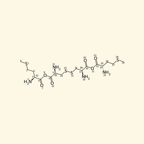 CSCC[C@H](N)C(=O)OC(=O)[C@@H](N)CSSC[C@H](N)C(=O)OC(=O)[C@@H](N)CCSC